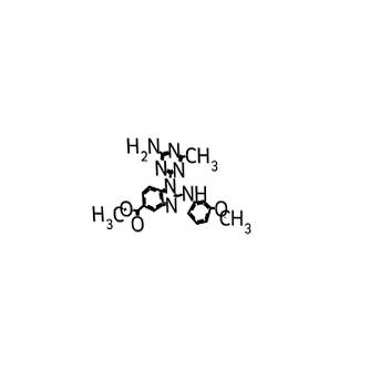 COC(=O)c1ccc2c(c1)nc(Nc1cccc(OC)c1)n2-c1nc(C)nc(N)n1